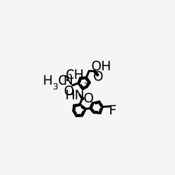 CN(C)C(=O)c1cc(CC(=O)O)ccc1NC(=O)c1ccccc1-c1ccc(CF)cc1